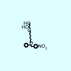 O=[N+]([O-])c1ccc(C=C(OCCCCCCOCC(O)CO)c2ccccc2)cc1